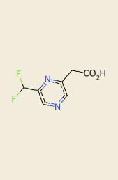 O=C(O)Cc1cncc(C(F)F)n1